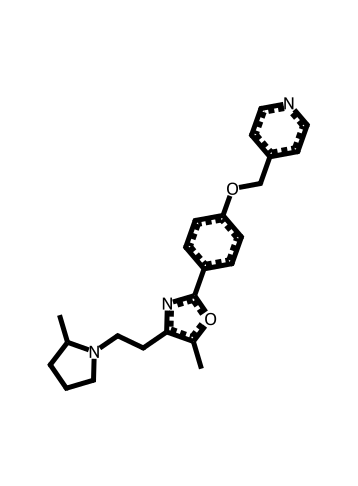 Cc1oc(-c2ccc(OCc3ccncc3)cc2)nc1CCN1CCCC1C